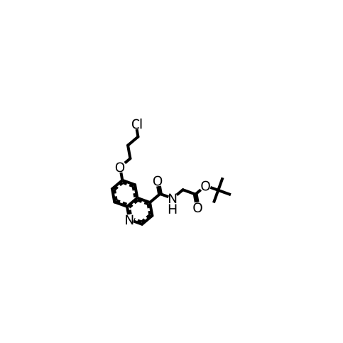 CC(C)(C)OC(=O)CNC(=O)c1ccnc2ccc(OCCCCl)cc12